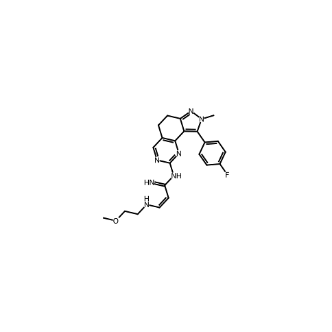 COCCN/C=C\C(=N)Nc1ncc2c(n1)-c1c(nn(C)c1-c1ccc(F)cc1)CC2